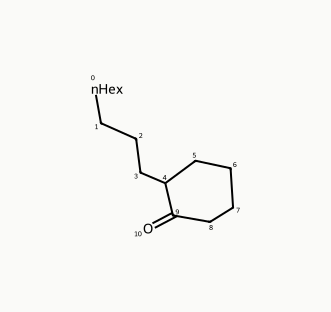 CCCCCCCCCC1CCCCC1=O